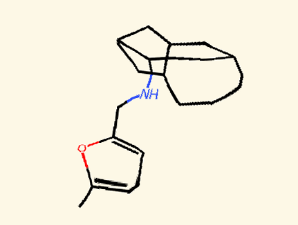 Cc1ccc(CNC2C3CCCC4CC2CC4C3)o1